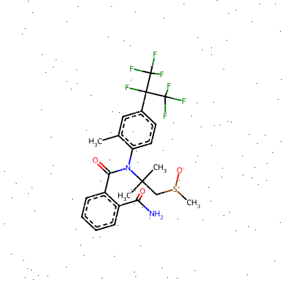 Cc1cc(C(F)(C(F)(F)F)C(F)(F)F)ccc1N(C(=O)c1ccccc1C(N)=O)C(C)(C)C[S+](C)[O-]